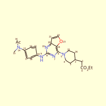 CCOC(=O)CC1CCN(c2nc(Nc3ccc(N(C)C(C)=O)cc3)nc3ccoc23)CC1